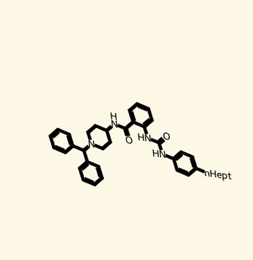 CCCCCCCc1ccc(NC(=O)Nc2ccccc2C(=O)NC2CCN(C(c3ccccc3)c3ccccc3)CC2)cc1